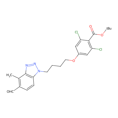 Cc1c(C=O)ccc2c1nnn2CCCCOc1cc(Cl)c(C(=O)OC(C)(C)C)c(Cl)c1